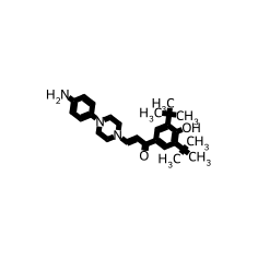 CC(C)(C)c1cc(C(=O)C=CN2CCN(c3ccc(N)cc3)CC2)cc(C(C)(C)C)c1O